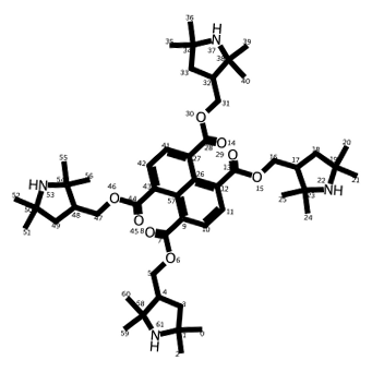 CC1(C)CC(COC(=O)c2ccc(C(=O)OCC3CC(C)(C)NC3(C)C)c3c(C(=O)OCC4CC(C)(C)NC4(C)C)ccc(C(=O)OCC4CC(C)(C)NC4(C)C)c23)C(C)(C)N1